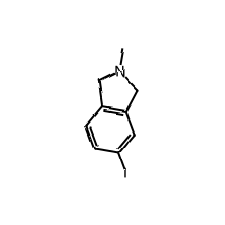 CN1Cc2ccc(I)cc2C1